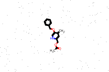 C=C1C=C(COC(C)=O)NC=C1OCc1ccccc1